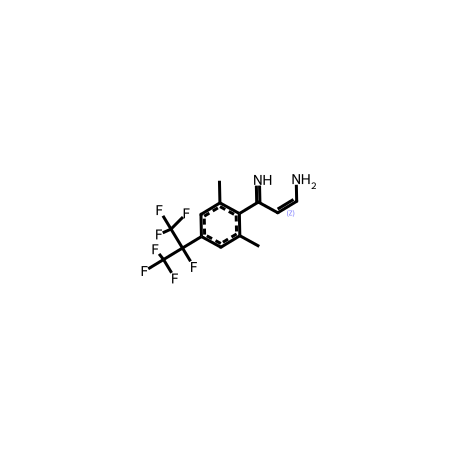 Cc1cc(C(F)(C(F)(F)F)C(F)(F)F)cc(C)c1C(=N)/C=C\N